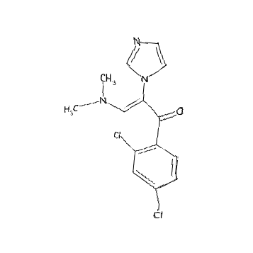 CN(C)C=C(C(=O)c1ccc(Cl)cc1Cl)n1ccnc1